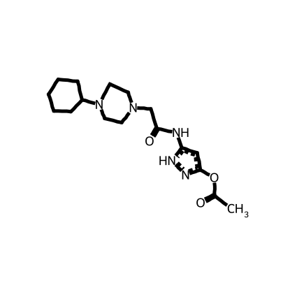 CC(=O)Oc1cc(NC(=O)CN2CCN(C3CCCCC3)CC2)[nH]n1